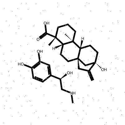 C=C1C[C@@]23CC[C@H]4[C@@](C)(CCC[C@@]4(C)C(=O)O)[C@@H]2CC[C@]1(O)C3.CNC[C@H](O)c1ccc(O)c(O)c1